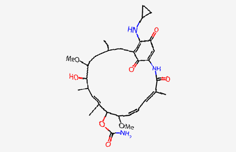 COC1/C=C\C=C(/C)C(=O)NC2=CC(=O)C(NC3CC3)=C(CC(C)CC(OC)C(O)C(C)/C=C(/C)C1OC(N)=O)C2=O